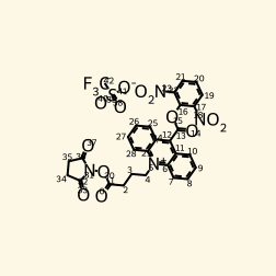 O=C(CCC[n+]1c2ccccc2c(C(=O)Oc2c([N+](=O)[O-])cccc2[N+](=O)[O-])c2ccccc21)ON1C(=O)CCC1=O.O=S(=O)([O-])C(F)(F)F